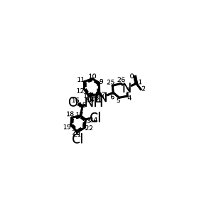 C=C(C)N1CCC(Nc2ccccc2NC(=O)c2ccc(Cl)cc2Cl)CC1